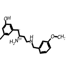 COc1cccc(CNCC[C@@H](N)[CH]c2cc(O)cc(F)c2)c1